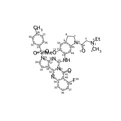 CCN(C)CC(=O)N1CCc2cc(OC)c(Nc3nc4c(ccn4S(=O)(=O)c4ccc(C)cc4)c4nc5cccc(F)c5c(=O)n34)cc21